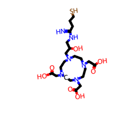 N=C(CCCS)NCC(O)CN1CCN(CC(=O)O)CCN(CC(=O)O)CCN(CC(=O)O)CC1